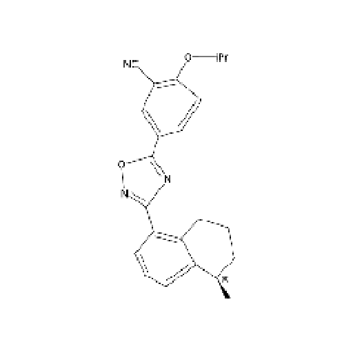 CC(C)Oc1ccc(-c2nc(-c3cccc4c3CCC[C@H]4C)no2)cc1C#N